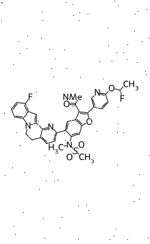 CNC(=O)c1c(-c2ccc(OC(C)F)nc2)oc2cc(N(C)S(C)(=O)=O)c(-c3ccc4c(n3)-c3cc5c(F)cccc5n3CC4)cc12